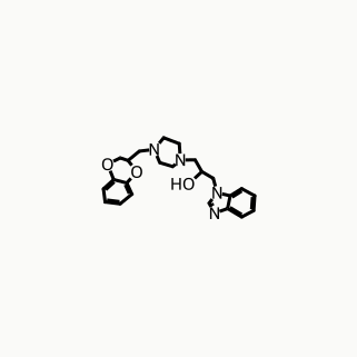 OC(CN1CCN(CC2COc3ccccc3O2)CC1)Cn1cnc2ccccc21